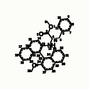 COC(=O)[C@H](Cc1ccccc1)Nc1ccc2ccccc2c1-c1c(OC)ccc2ccccc12